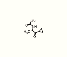 C[C@H](NC(=O)C(C)(C)C)C(=O)C1CC1